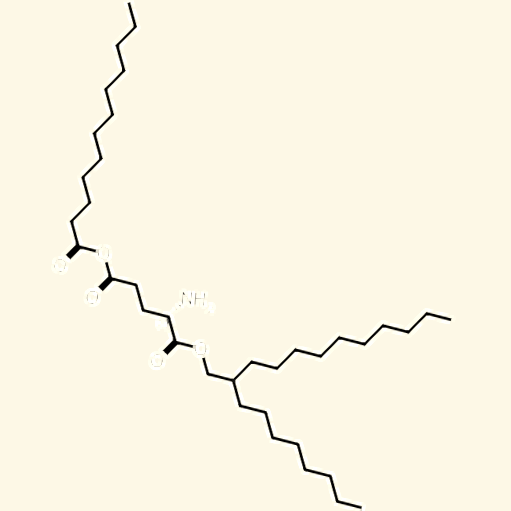 CCCCCCCCCCCC(=O)OC(=O)CC[C@H](N)C(=O)OCC(CCCCCCCC)CCCCCCCCCC